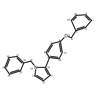 c1ccc(COc2ccc(-c3cccn3Cc3ccccc3)cc2)cc1